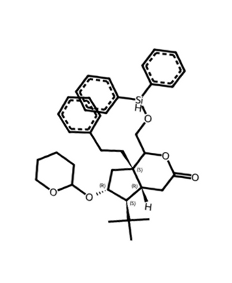 CC(C)(C)[C@@H]1[C@H]2CC(=O)OC(CO[SiH](c3ccccc3)c3ccccc3)[C@@]2(CCc2ccccc2)C[C@H]1OC1CCCCO1